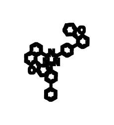 c1ccc(-c2ccc(-c3nc(-c4ccc(-c5cccc6oc7ccccc7c56)cc4)nc(-c4cccc5ccc6oc7ccccc7c6c45)n3)cc2)cc1